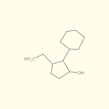 O=C(O)CC1CCC(O)C1C1CCCCC1